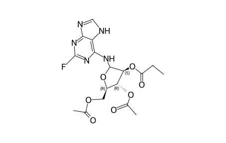 CCC(=O)O[C@@H]1C(Nc2nc(F)nc3nc[nH]c23)O[C@H](COC(C)=O)[C@H]1OC(C)=O